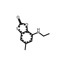 CCNc1cc(C)cc2sc(=O)oc12